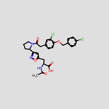 CC(=O)NC(Cc1cc(C2CCCN2C(=O)Cc2ccc(OCc3ccc(Cl)cc3)c(Cl)c2)no1)C(=O)O